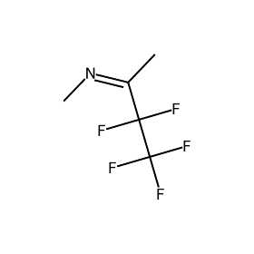 CN=C(C)C(F)(F)C(F)(F)F